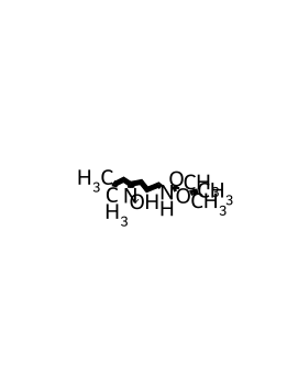 CC(C)CC(CCCNC(=O)OC(C)(C)C)=NO